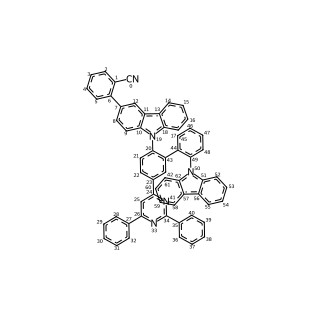 N#Cc1ccccc1-c1ccc2c(c1)c1ccccc1n2-c1ccc(-c2cc(-c3ccccc3)nc(-c3ccccc3)n2)cc1-c1ccccc1-n1c2ccccc2c2ccccc21